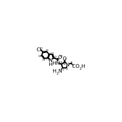 N[C@@H]1CN(CC(=O)O)C(=O)C1NC(=O)c1cc2cc(Cl)ccc2[nH]1